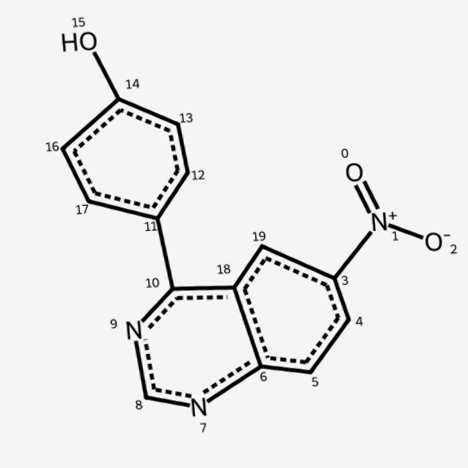 O=[N+]([O-])c1ccc2ncnc(-c3ccc(O)cc3)c2c1